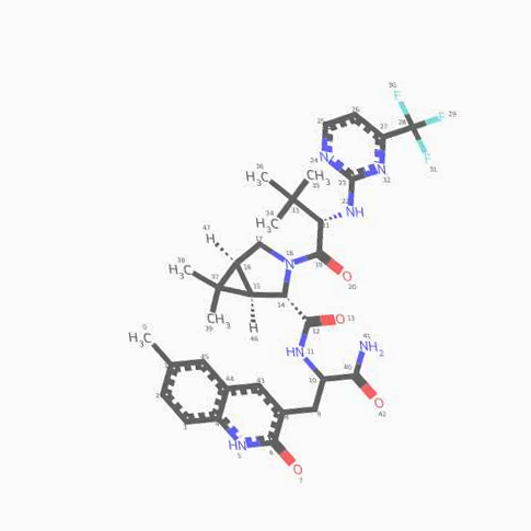 Cc1ccc2[nH]c(=O)c(CC(NC(=O)[C@@H]3[C@@H]4[C@H](CN3C(=O)[C@@H](Nc3nccc(C(F)(F)F)n3)C(C)(C)C)C4(C)C)C(N)=O)cc2c1